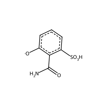 NC(=O)c1c([O])cccc1S(=O)(=O)O